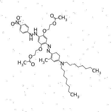 CCCCCCCCN(CCCCCCCC)C1=CC(C)=C(/N=N/c2cc(OCCOC(C)=O)c(NNc3ccc([N+](=O)[O-])cc3)cc2OCCOC(C)=O)CC1